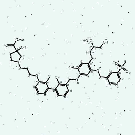 COC(=O)C1(O)CCN(CCCOc2cccc(-c3cccc(COc4cc(OCc5cncc(S(C)(=O)=O)c5)c(CN[C@H](CO)C(=O)O)cc4Cl)c3C)c2C)C1